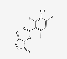 O=C(ON1C(=O)C=CC1=O)c1c(I)cc(I)c(O)c1I